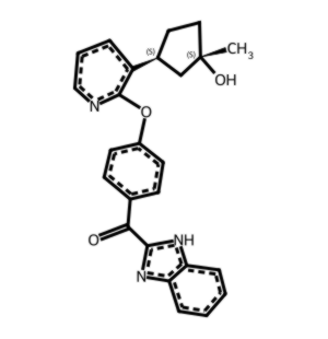 C[C@]1(O)CC[C@H](c2cccnc2Oc2ccc(C(=O)c3nc4ccccc4[nH]3)cc2)C1